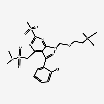 CN(C)S(=O)(=O)Cc1nc(S(C)(=O)=O)nc2c1c(-c1ccccc1Cl)nn2COCC[Si](C)(C)C